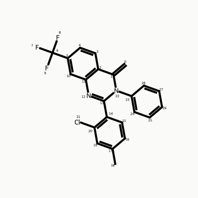 C=C1c2ccc(C(F)(F)F)cc2N=C(c2ccc(C)cc2Cl)N1c1ccccc1